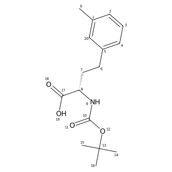 Cc1cccc(CC[C@H](NC(=O)OC(C)(C)C)C(=O)O)c1